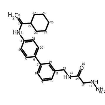 C=C(Nc1ccc(-c2cccc(CNC(=O)CNN)c2)cc1)C1CCCCC1